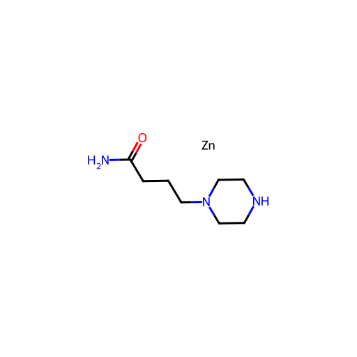 NC(=O)CCCN1CCNCC1.[Zn]